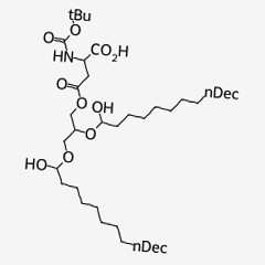 CCCCCCCCCCCCCCCCCC(O)OCC(COC(=O)CC(NC(=O)OC(C)(C)C)C(=O)O)OC(O)CCCCCCCCCCCCCCCCC